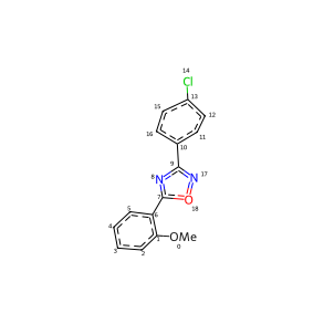 COc1ccccc1-c1nc(-c2ccc(Cl)cc2)no1